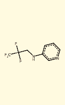 FC(F)(F)C(F)(F)CNc1cccnc1